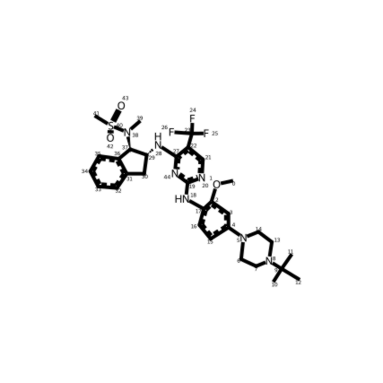 COc1cc(N2CCN(C(C)(C)C)CC2)ccc1Nc1ncc(C(F)(F)F)c(N[C@@H]2Cc3ccccc3[C@H]2N(C)S(C)(=O)=O)n1